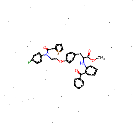 COC(=O)C(Cc1ccc(OCCN(C(=O)c2cccs2)c2ccc(F)cc2)cc1)Nc1ccccc1C(=O)c1ccccc1